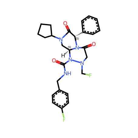 O=C1[C@H](c2ccccc2)N2C(=O)CN(CF)N(C(=O)NCc3ccc(F)cc3)[C@H]2CN1C1CCCC1